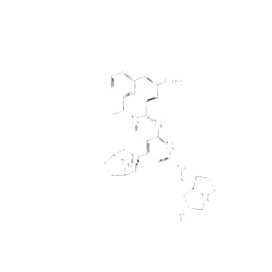 CCc1cccc2cc(O)cc(-c3ncc4c(N5CC6CCC(C5)N6)cc(OC[C@@]56CCCN5C[C@H](F)C6)nc4n3)c12